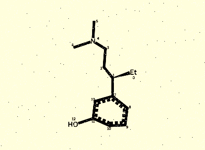 CC[C@H](CCN(C)C)c1cccc(O)c1